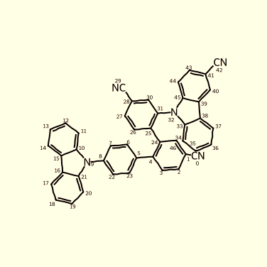 N#Cc1ccc(-c2ccc(-n3c4ccccc4c4ccccc43)cc2)c(-c2ccc(C#N)cc2-n2c3ccccc3c3cc(C#N)ccc32)c1